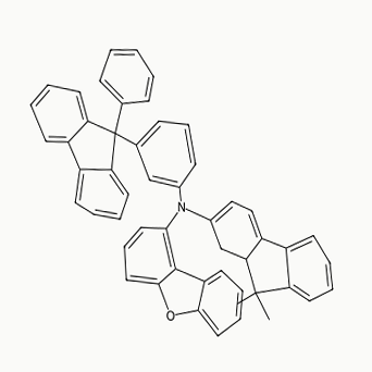 CC1(C)c2ccccc2C2=CC=C(N(c3cccc(C4(c5ccccc5)c5ccccc5-c5ccccc54)c3)c3cccc4oc5ccccc5c34)CC21